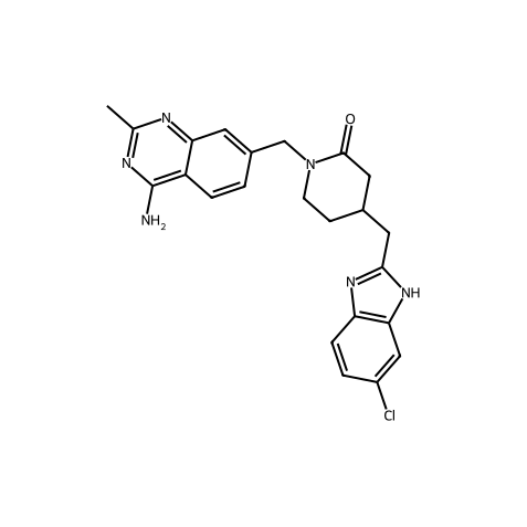 Cc1nc(N)c2ccc(CN3CCC(Cc4nc5ccc(Cl)cc5[nH]4)CC3=O)cc2n1